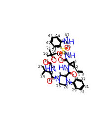 C=C[C@@H]1C[C@]1(NC(=O)C1CN(C(=O)[C@@H](NC(=O)OC(C)(C)C)C(C)C)CCN1c1ccccc1)C(=O)NS(=O)(=O)c1ccccc1NC